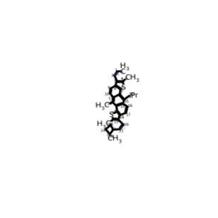 C/C=C\c1c(C)sc2c1ccc1c(C)c3c(ccc4c(/C=C\C5CCC5C)c(C)sc43)c(C(C)C)c12